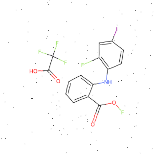 O=C(O)C(F)(F)F.O=C(OF)c1ccccc1Nc1ccc(I)cc1F